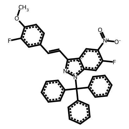 COc1ccc(C=Cc2nn(C(c3ccccc3)(c3ccccc3)c3ccccc3)c3cc(F)c([N+](=O)[O-])cc23)cc1F